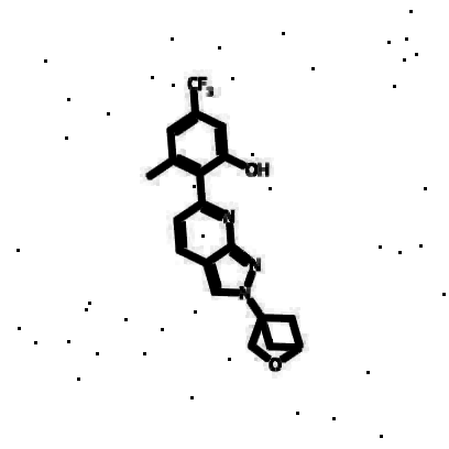 Cc1cc(C(F)(F)F)cc(O)c1-c1ccc2cn(C34COC(C3)C4)nc2n1